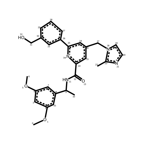 COc1cc(OC)cc(C(C)NC(=O)c2cc(Cn3ccnc3C)cc(-c3cccc(CO)c3)n2)c1